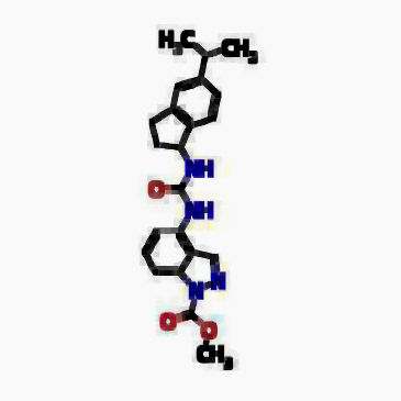 COC(=O)n1ncc2c(NC(=O)NC3CCc4cc(C(C)C)ccc43)cccc21